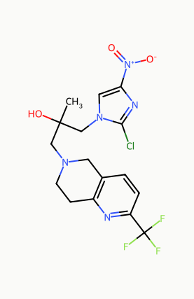 CC(O)(CN1CCc2nc(C(F)(F)F)ccc2C1)Cn1cc([N+](=O)[O-])nc1Cl